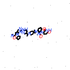 CC(c1ccc(Nc2ncc3cc(C(=O)N(C)C)n(C4CCCC4)c3n2)nc1)N1CCC2(CC1)CN(c1cccc3c1n(C)c(=O)n3C1CCC(=O)NC1=O)C2